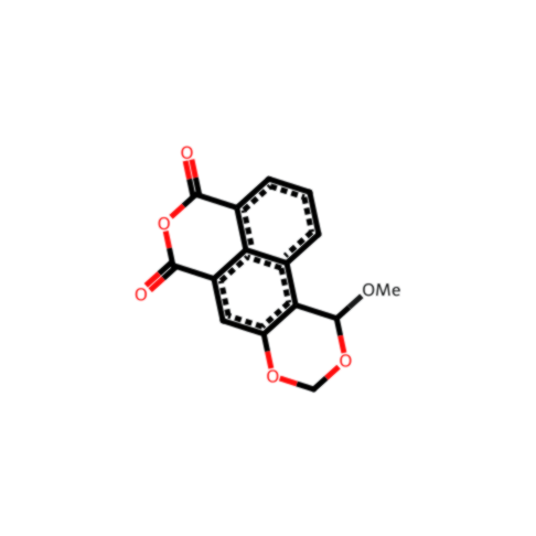 COC1OCOc2cc3c4c(cccc4c21)C(=O)OC3=O